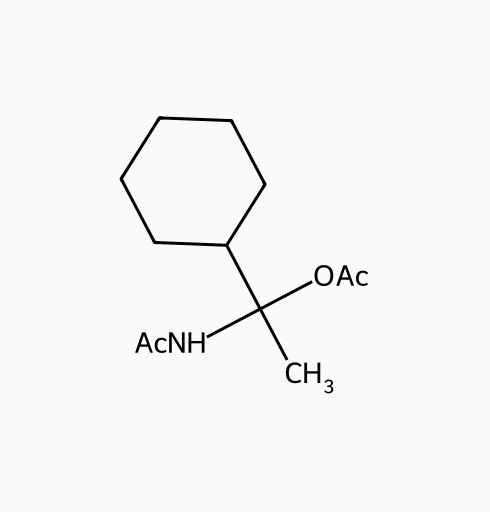 CC(=O)NC(C)(OC(C)=O)C1CCCCC1